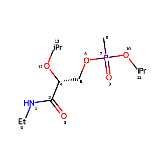 CCNC(=O)[C@@H](COP(C)(=O)OC(C)C)OC(C)C